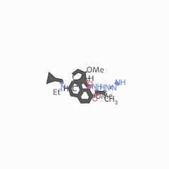 CCN(CC1CC1)[C@@H]1Cc2ccc(OC)c3c2[C@@]2(C)C(O3)[C@@]3(OC)CC[C@@]12C[C@@H]3CNC(=O)[C@H](C)NN=N